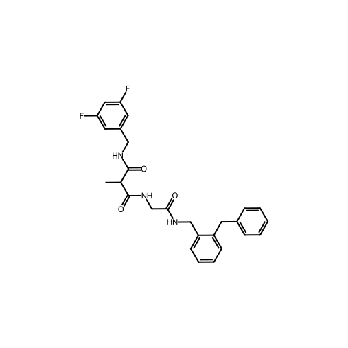 CC(C(=O)NCC(=O)NCc1ccccc1Cc1ccccc1)C(=O)NCc1cc(F)cc(F)c1